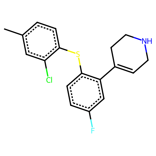 Cc1ccc(Sc2ccc(F)cc2C2=CCNCC2)c(Cl)c1